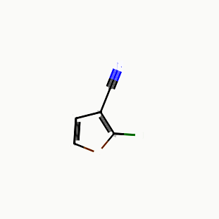 N#Cc1c[c]sc1Cl